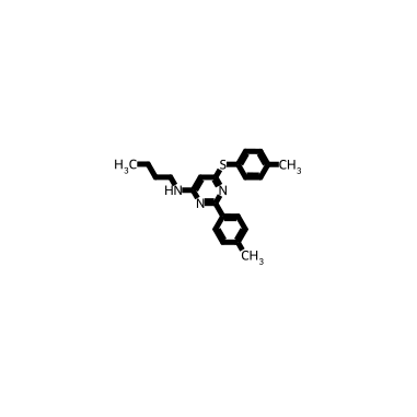 CCCCNc1cc(Sc2ccc(C)cc2)nc(-c2ccc(C)cc2)n1